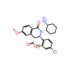 COc1ccc2c(c1)[C@@H](C(=O)O)[C@H](c1ccc(Cl)cc1Cl)N([C@H]1CCCC[C@@H]1N)C2=O